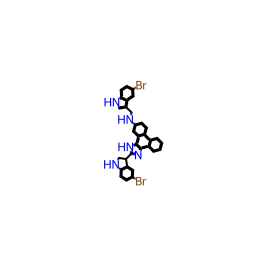 Brc1ccc2c(c1)C(c1nc3c4ccccc4c4ccc(NCc5c[nH]c6ccc(Br)cc56)cc4c3[nH]1)CN2